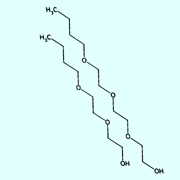 CCCCOCCOCCO.CCCCOCCOCCOCCO